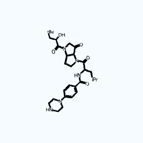 CC(C)CC(NC(=O)c1ccc(N2CCNCC2)cc1)C(=O)N1CCC2C1C(=O)CN2C(=O)C(O)CC(C)(C)C